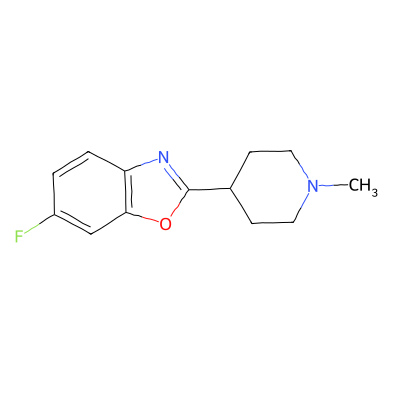 CN1CCC(c2nc3ccc(F)cc3o2)CC1